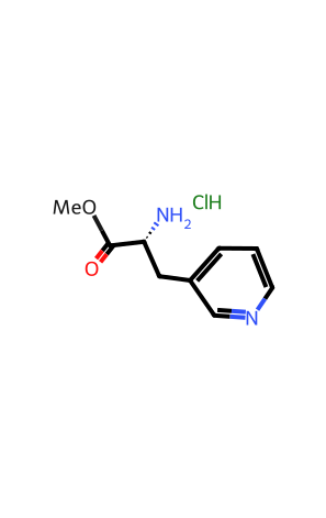 COC(=O)[C@H](N)Cc1cccnc1.Cl